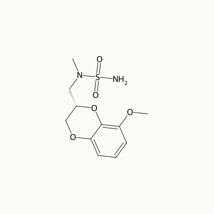 COc1cccc2c1O[C@@H](CN(C)S(N)(=O)=O)CO2